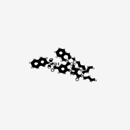 CCCCOC[C@@H]1Cc2ccccc2CN1C(=O)c1cc(C(=O)NS(=O)(=O)c2ccc3ccccc3c2)ccc1-n1nc(C(=O)N(CCCC)CCCC)c(Cl)c1C